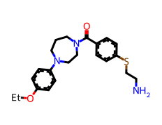 CCOc1ccc(N2CCCN(C(=O)c3ccc(SCCN)cc3)CC2)cc1